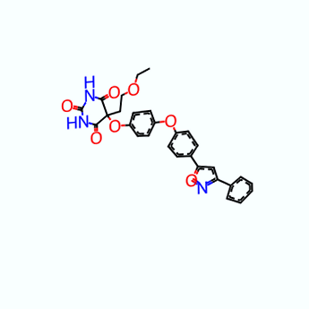 CCOCCC1(Oc2ccc(Oc3ccc(-c4cc(-c5ccccc5)no4)cc3)cc2)C(=O)NC(=O)NC1=O